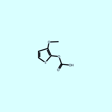 COc1ccsc1OC(=O)O